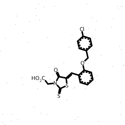 O=C(O)CN1C(=O)/C(=C/c2ccccc2OCc2ccc(Cl)cc2)SC1=S